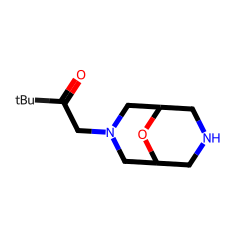 CC(C)(C)C(=O)CN1CC2CNCC(C1)O2